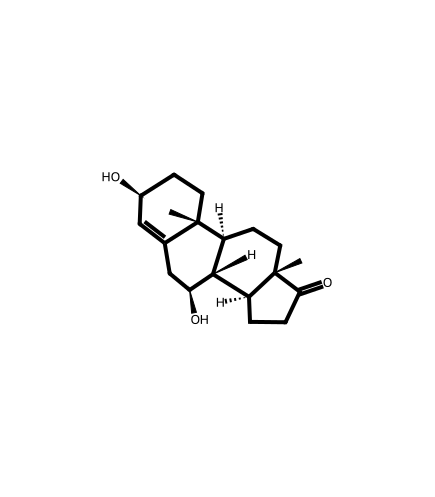 C[C@]12CC[C@H](O)C=C1C[C@H](O)[C@@H]1[C@@H]2CC[C@]2(C)C(=O)CC[C@@H]12